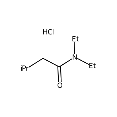 CCN(CC)C(=O)CC(C)C.Cl